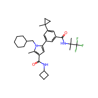 Cc1c(C(=O)NC2CCC2)cc(-c2cc(C(=O)NC(C)(C)C(F)(F)F)cc(C3(C)CC3)c2)n1CC1CCCCC1